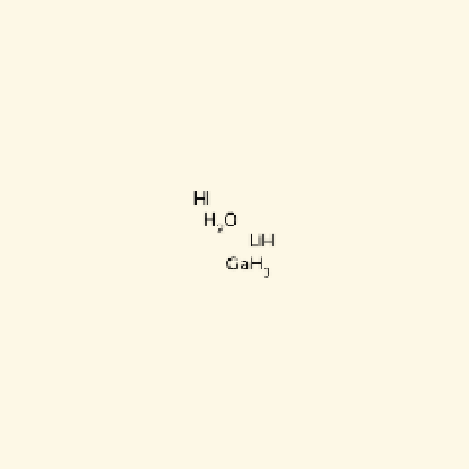 I.O.[GaH3].[LiH]